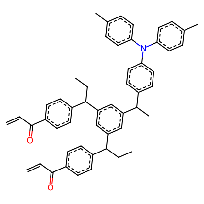 C=CC(=O)c1ccc(C(CC)c2cc(C(C)c3ccc(N(c4ccc(C)cc4)c4ccc(C)cc4)cc3)cc(C(CC)c3ccc(C(=O)C=C)cc3)c2)cc1